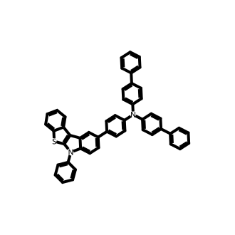 c1ccc(-c2ccc(N(c3ccc(-c4ccccc4)cc3)c3ccc(-c4ccc5c(c4)c4c6ccccc6sc4n5-c4ccccc4)cc3)cc2)cc1